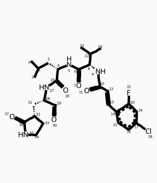 CC(C)C[C@H](NC(=O)[C@@H](NC(=O)/C=C/c1ccc(Cl)cc1F)C(C)C)C(=O)N[C@H](C=O)C[C@@H]1CCNC1=O